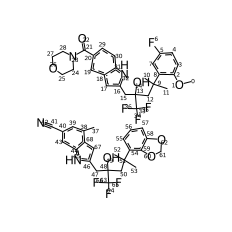 COc1ccc(F)cc1C(C)(C)CC(O)(Cc1cc2cc(C(=O)N3CCOCC3)ccc2[nH]1)C(F)(F)F.Cc1cc(C#N)cc2[nH]c(CC(O)(CC(C)(C)c3cccc4c3OCO4)C(F)(F)F)cc12